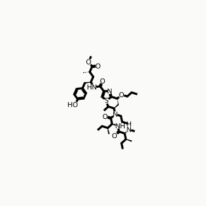 CCCO[C@H](C[C@H](C(C)C)N(CCC)C(=O)[C@@H](NC(=O)[C@H](NC)[C@@H](C)CC)[C@@H](C)CC)c1nc(C(=O)N[C@@H](Cc2ccc(O)cc2)C[C@H](C)C(=O)OC)cs1